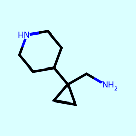 NCC1(C2CCNCC2)CC1